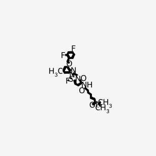 Cc1cc(OCc2ccc(F)cc2F)c2nc(Cn3cccc(NC(=O)CCC/C=C/C(=O)N(C)C)c3=O)n(SF)c2c1